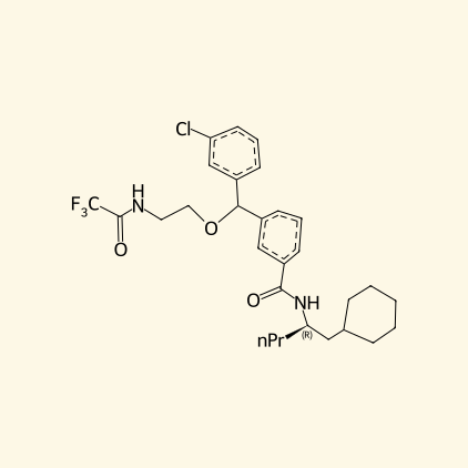 CCC[C@H](CC1CCCCC1)NC(=O)c1cccc(C(OCCNC(=O)C(F)(F)F)c2cccc(Cl)c2)c1